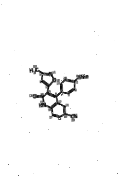 CSc1ccc(-c2c(-c3cc(C)no3)c(=O)[nH]c3ccc(C#N)cc23)cc1